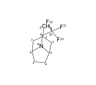 CC1CC2CCC(C1)N2CC(F)(F)F